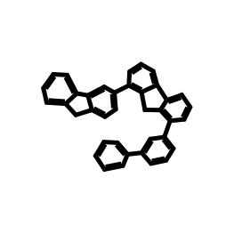 c1ccc(-c2cccc(-c3cccc4c3Cc3c(-c5ccc6c(c5)-c5ccccc5C6)cccc3-4)c2)cc1